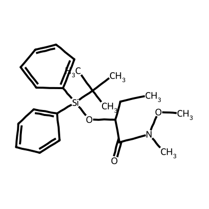 CCC(O[Si](c1ccccc1)(c1ccccc1)C(C)(C)C)C(=O)N(C)OC